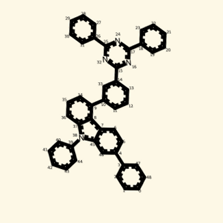 c1ccc(-c2ccc3c4c(-c5cccc(-c6nc(-c7ccccc7)nc(-c7ccccc7)n6)c5)cccc4n(-c4ccccc4)c3c2)cc1